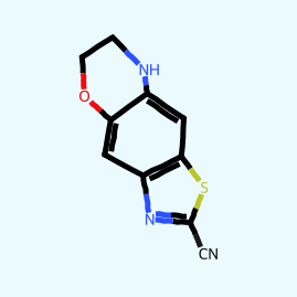 N#Cc1nc2cc3c(cc2s1)NCCO3